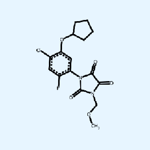 COCN1C(=O)C(=O)N(c2cc(OC3CCCC3)c(Cl)cc2F)C1=O